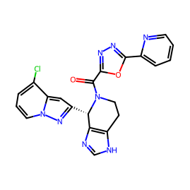 O=C(c1nnc(-c2ccccn2)o1)N1CCc2[nH]cnc2[C@@H]1c1cc2c(Cl)cccn2n1